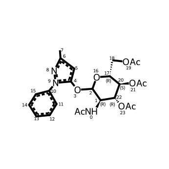 CC(=O)N[C@H]1C(Oc2cc(C)nn2-c2ccccc2)O[C@H](COC(C)=O)[C@@H](OC(C)=O)[C@@H]1OC(C)=O